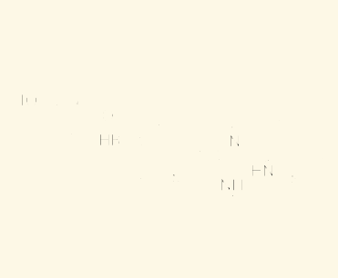 CC(C)(O)C(C)(C)OBc1ccc(C(=N)/N=c2/cccc[nH]2)cc1